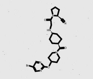 N#C[C@@H]1CCCN1C(=O)CN[C@H]1CC[C@H](C(=O)N2CCC(Oc3ncc(Br)cn3)CC2)CC1